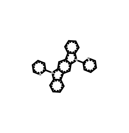 c1ccc(-n2c3ccccc3c3cc4c(cc32)c2ccccc2n4-c2ccccn2)nc1